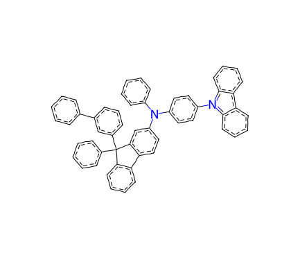 c1ccc(-c2cccc(C3(c4ccccc4)c4ccccc4-c4ccc(N(c5ccccc5)c5ccc(-n6c7ccccc7c7ccccc76)cc5)cc43)c2)cc1